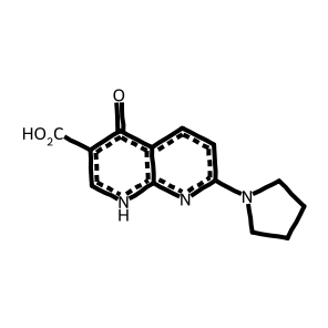 O=C(O)c1c[nH]c2nc(N3CCCC3)ccc2c1=O